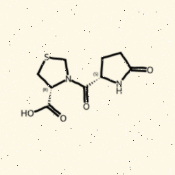 O=C1CC[C@@H](C(=O)N2CSC[C@H]2C(=O)O)N1